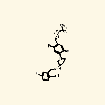 NC(=S)NN=Cc1cc(F)c(N2CC[C@@H](NCc3cc(F)ccc3Cl)C2)cc1F